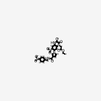 CCOC(=O)Cn1c(=O)c(=O)[nH]c2cc([N+](=O)[O-])c(-n3ccc(C(=O)NCc4ccc([N+](=O)[O-])cc4)c3)cc21